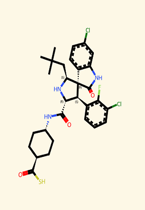 CC(C)(C)C[C@@H]1N[C@@H](C(=O)N[C@H]2CC[C@H](C(=O)S)CC2)[C@H](c2cccc(Cl)c2F)[C@]12C(=O)Nc1cc(Cl)ccc12